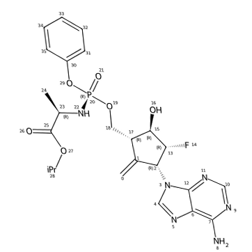 C=C1[C@@H](n2cnc3c(N)ncnc32)[C@@H](F)[C@H](O)[C@H]1CO[P@](=O)(N[C@H](C)C(=O)OC(C)C)Oc1ccccc1